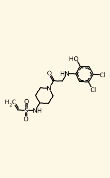 C=CS(=O)(=O)NC1CCN(C(=O)CNc2cc(Cl)c(Cl)cc2O)CC1